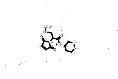 O=C(O)NCC(C(=O)N[C@H]1CCSSC1)N1C(=O)C=CC1=O